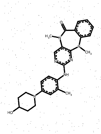 Cc1cc(N2CCC(O)CC2)ccc1Nc1ncc2c(n1)N(C)c1ccccc1C(=O)N2C